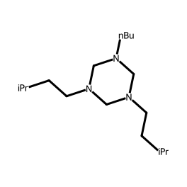 CCCCN1CN(CCC(C)C)CN(CCC(C)C)C1